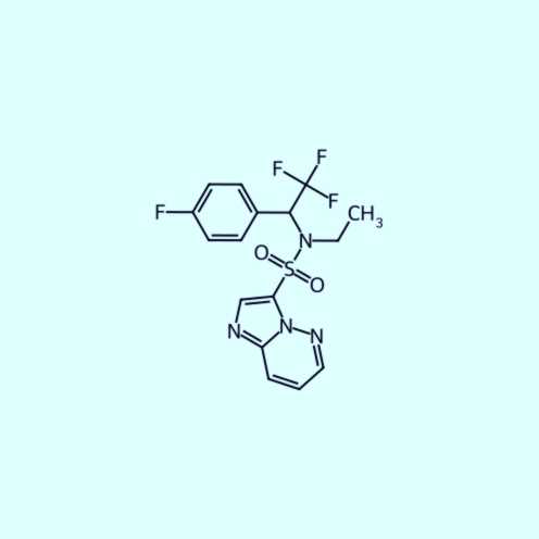 CCN(C(c1ccc(F)cc1)C(F)(F)F)S(=O)(=O)c1cnc2cccnn12